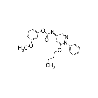 CCCCOc1c/c(=N\C(=O)Oc2cccc(OC)c2)cnn1-c1ccccc1